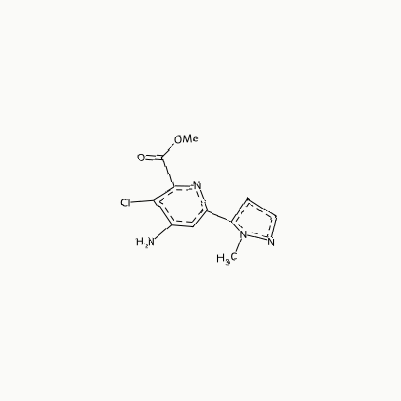 COC(=O)c1nc(-c2ccnn2C)cc(N)c1Cl